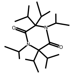 CC(C)N1C(=O)C(C(C)C)(C(C)C)N(C(C)C)C(=O)C1(C(C)C)C(C)C